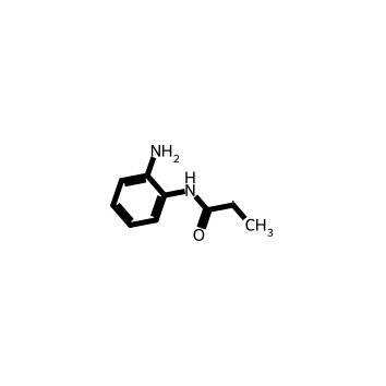 C[CH]C(=O)Nc1ccccc1N